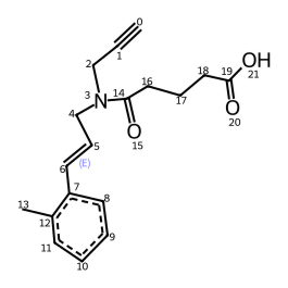 C#CCN(C/C=C/c1ccccc1C)C(=O)CCCC(=O)O